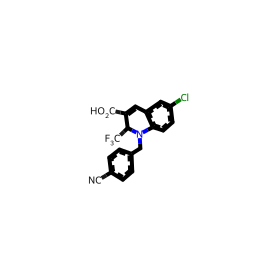 N#Cc1ccc(CN2c3ccc(Cl)cc3C=C(C(=O)O)C2C(F)(F)F)cc1